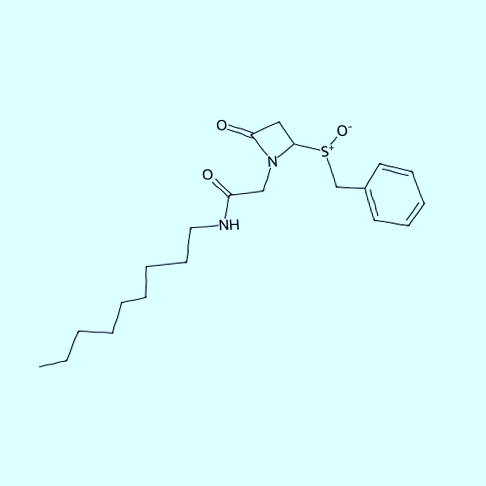 CCCCCCCCCNC(=O)CN1C(=O)CC1[S+]([O-])Cc1ccccc1